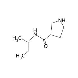 CCC(C)NC(=O)C1CCNC1